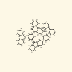 c1ccc2c(c1)-c1ccccc1C21c2ccccc2-c2cc3c(-c4cc(-n5c6ccccc6c6ccccc65)cc(-n5c6ccccc6c6ccccc65)c4)nc4ccccc4c3cc21